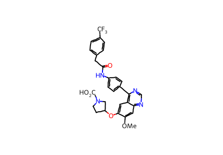 COc1cc2ncnc(-c3ccc(NC(=O)Cc4ccc(C(F)(F)F)cc4)cc3)c2cc1OC1CCN(C(=O)O)C1